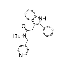 CCC(C)N(Cc1ccncc1)C(=O)Cc1c(-c2ccccc2)[nH]c2ccccc12